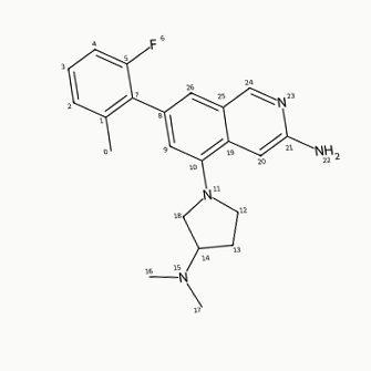 Cc1cccc(F)c1-c1cc(N2CCC(N(C)C)C2)c2cc(N)ncc2c1